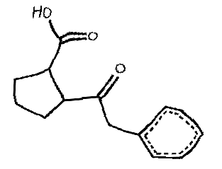 O=C(O)C1CCCC1C(=O)Cc1ccccc1